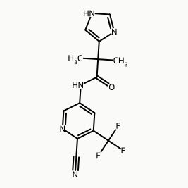 CC(C)(C(=O)Nc1cnc(C#N)c(C(F)(F)F)c1)c1c[nH]cn1